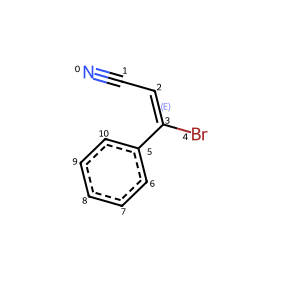 N#C/C=C(/Br)c1ccccc1